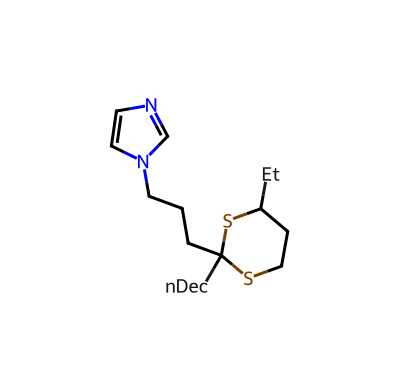 CCCCCCCCCCC1(CCCn2ccnc2)SCCC(CC)S1